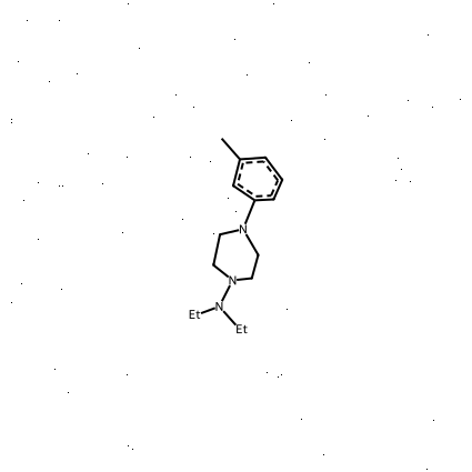 CCN(CC)N1CCN(c2cccc(C)c2)CC1